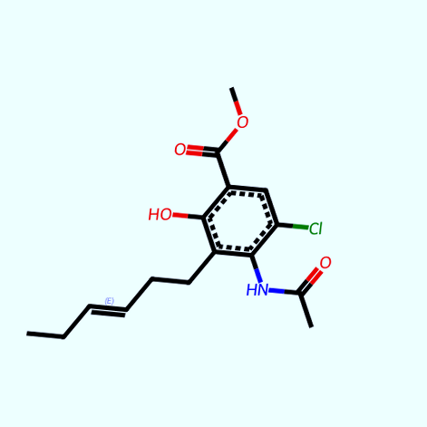 CC/C=C/CCc1c(O)c(C(=O)OC)cc(Cl)c1NC(C)=O